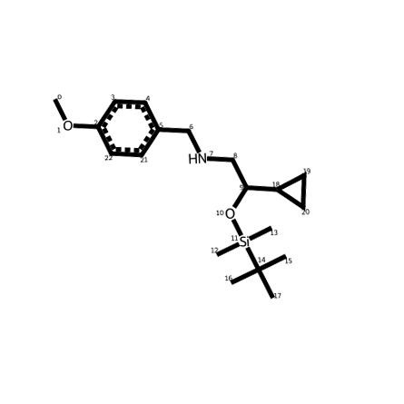 COc1ccc(CNCC(O[Si](C)(C)C(C)(C)C)C2CC2)cc1